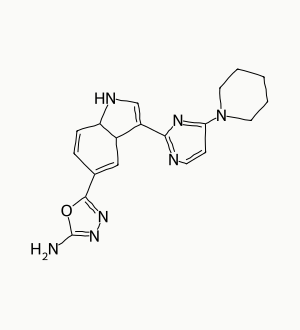 Nc1nnc(C2=CC3C(c4nccc(N5CCCCC5)n4)=CNC3C=C2)o1